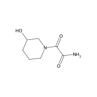 NC(=O)C(=O)N1CCCC(O)C1